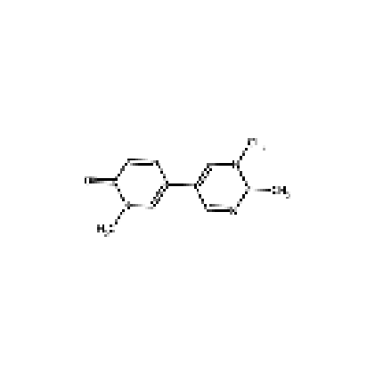 CC1N=CC(c2ccc(=O)n(C)c2)=CN1C